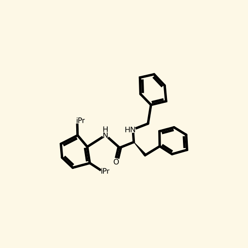 CC(C)c1cccc(C(C)C)c1NC(=O)[C@H](Cc1ccccc1)NCc1ccccc1